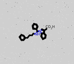 O=C(O)Cc1cn(C(NCCCCc2ccccc2)c2ccccc2)c2ccccc12